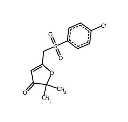 CC1(C)OC(CS(=O)(=O)c2ccc(Cl)cc2)=CC1=O